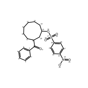 O=C(c1ccccc1)C1CCCCCCC(OS(=O)(=O)c2ccc([N+](=O)[O-])cc2)C1